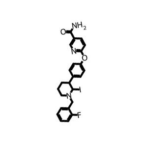 NC(=O)c1ccc(Oc2ccc(C3CCCN(Cc4ccccc4F)C3I)cc2)nc1